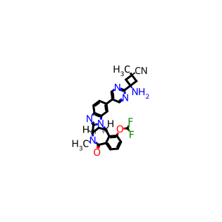 CN1C(=O)c2cccc(OC(F)F)c2[C@H]2C[C@@H]1c1nc3ccc(-c4cnc([C@]5(N)C[C@@](C)(C#N)C5)nc4)cc3n12